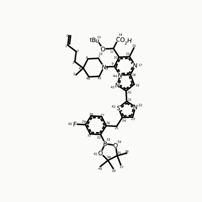 C=CCCC1(C)CCN(c2c(C(OC(C)(C)C)C(=O)O)c(C)nc3cc(-c4ncc(Cc5ccc(F)cc5B5OC(C)(C)C(C)(C)O5)s4)nn23)CC1